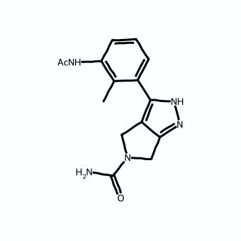 CC(=O)Nc1cccc(-c2[nH]nc3c2CN(C(N)=O)C3)c1C